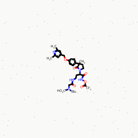 Cc1cc(COc2ccc(C3(C)CCN(C(CCNC(=O)CN(C(=O)O)C(C)(C)C)C(=O)NOC(=O)C(F)(F)F)C3=O)cc2)cc(C)n1